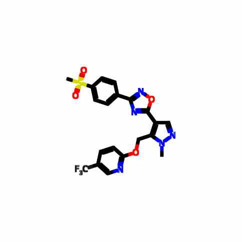 Cn1ncc(-c2nc(-c3ccc(S(C)(=O)=O)cc3)no2)c1COc1ccc(C(F)(F)F)cn1